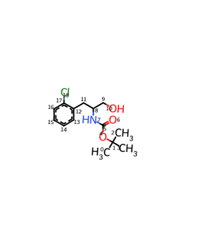 CC(C)(C)OC(=O)NC(CO)Cc1ccccc1Cl